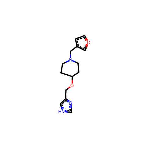 c1nc(COC2CCN(Cc3ccoc3)CC2)c[nH]1